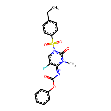 CCc1ccc(S(=O)(=O)n2cc(F)/c(=N\C(=O)Oc3ccccc3)n(C)c2=O)cc1